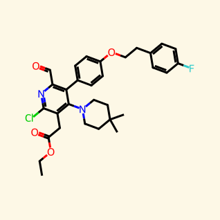 CCOC(=O)Cc1c(Cl)nc(C=O)c(-c2ccc(OCCc3ccc(F)cc3)cc2)c1N1CCC(C)(C)CC1